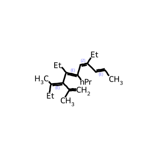 C=C(C)C(=C(/C)CC)/C(CC)=C(/C=C(\C=C\C)CC)CCC